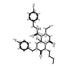 CCCC[C@H]1C(=O)N(Cc2ccc(F)cc2)C[C@H]2N1C(=O)CN(CF)N2C(=O)NCc1ccc(F)cc1